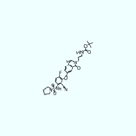 CC(C)(C)OC(=O)NCCCn1cnc2ccc(Oc3c(F)ccc(NS(=O)(=O)N4CCCC4)c3C#N)cc2c1=O